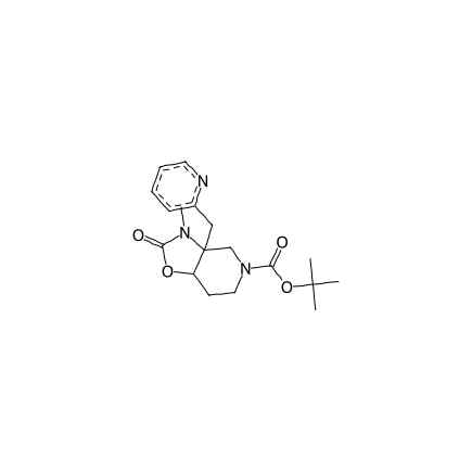 CN1C(=O)OC2CCN(C(=O)OC(C)(C)C)CC21Cc1ccccn1